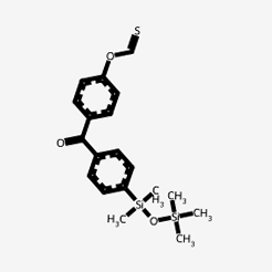 C[Si](C)(C)O[Si](C)(C)c1ccc(C(=O)c2ccc(OC=S)cc2)cc1